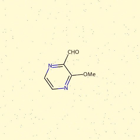 COc1nccnc1C=O